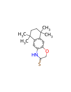 CC1(C)CCC(C)(C)c2cc3c(cc21)NC(=S)CO3